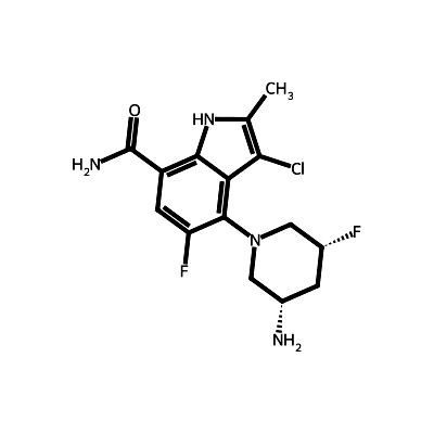 Cc1[nH]c2c(C(N)=O)cc(F)c(N3C[C@@H](N)C[C@@H](F)C3)c2c1Cl